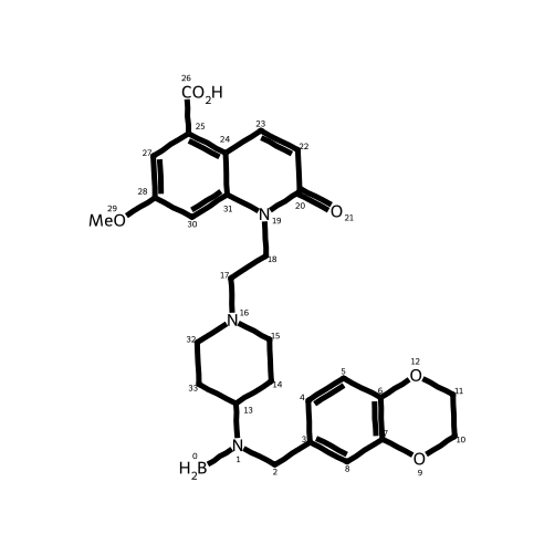 BN(Cc1ccc2c(c1)OCCO2)C1CCN(CCn2c(=O)ccc3c(C(=O)O)cc(OC)cc32)CC1